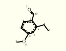 CCc1cc(OC)ccc1C=O